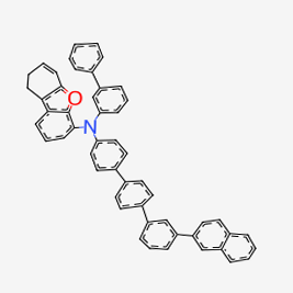 C1=Cc2oc3c(N(c4ccc(-c5ccc(-c6cccc(-c7ccc8ccccc8c7)c6)cc5)cc4)c4cccc(-c5ccccc5)c4)cccc3c2CC1